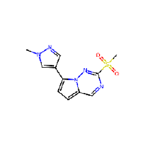 Cn1cc(-c2ccc3cnc(S(C)(=O)=O)nn23)cn1